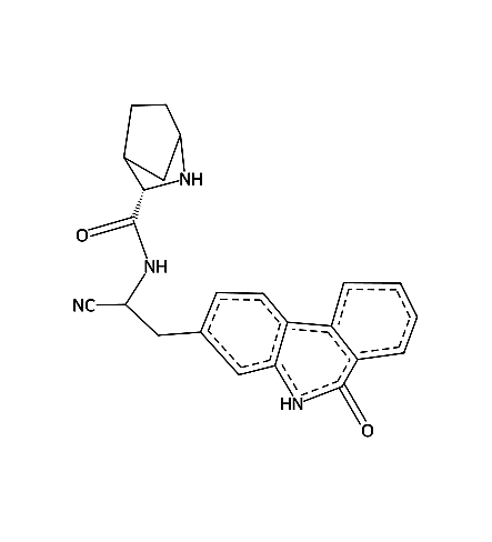 N#CC(Cc1ccc2c(c1)[nH]c(=O)c1ccccc12)NC(=O)[C@H]1NC2CCC1C2